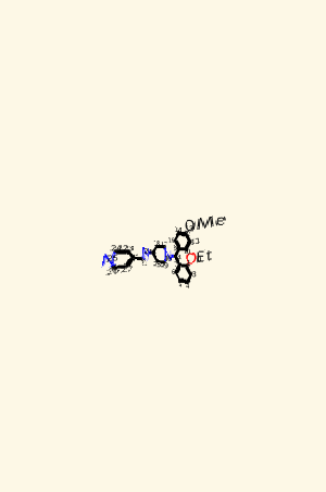 CCOc1ccccc1C(c1ccc(OC)cc1)N1CCC(/N=C/c2ccncc2)CC1